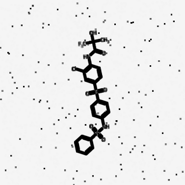 CC(O)(C(=O)Nc1ccc(S(=O)(=O)c2ccc(NS(=O)(=O)c3ccccc3)cc2)cc1Cl)C(F)(F)F